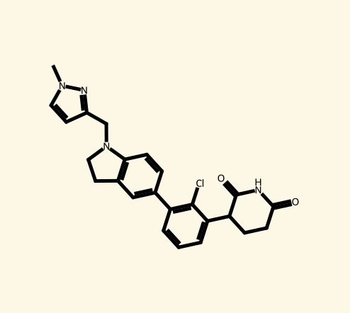 Cn1ccc(CN2CCc3cc(-c4cccc(C5CCC(=O)NC5=O)c4Cl)ccc32)n1